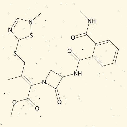 CNC(=O)c1ccccc1C(=O)NC1CN(C(C(=O)OC)=C(C)CSC2N=CN(C)S2)C1=O